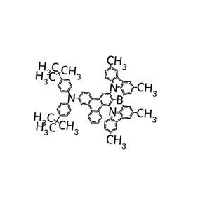 Cc1ccc2c(c1)c1cc(C)cc3c1n2-c1cc2c4ccc(N(c5ccc(C(C)(C)C)cc5)c5ccc(C(C)(C)C)cc5)cc4c4ccccc4c2c2c1B3c1cc(C)cc3c4cc(C)ccc4n-2c13